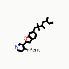 C=CC(=C)CC(C)C(C)(C)Cc1ccc2cc(-c3cnccc3CCCCC)oc2c1